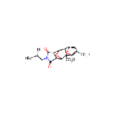 CCCCC(CC)CN1C(=O)C2C3OC(C2C1=O)C1(C(=O)O)c2oc(cc2C(=O)O)C31